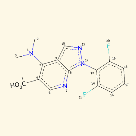 CN(C)c1c(C(=O)O)cnc2c1cnn2-c1c(F)cccc1F